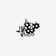 CCOP(OCC)Oc1cc(O)c2c(=O)cc(-c3ccccc3Cl)oc2c1C1CCN(C)CC1O